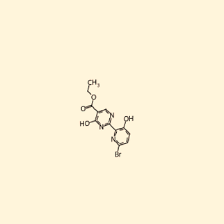 CCOC(=O)c1cnc(-c2nc(Br)ccc2O)nc1O